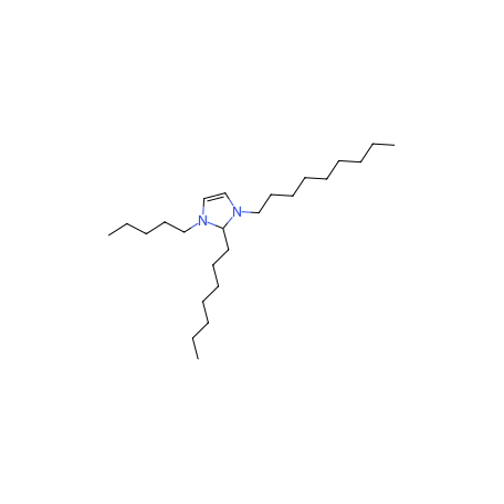 CCCCCCCCCN1C=CN(CCCCC)C1CCCCCCC